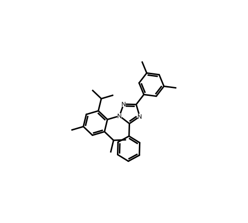 Cc1cc(C)cc(-c2nc(-c3ccccc3)n(-c3c(C(C)C)cc(C)cc3C(C)C)n2)c1